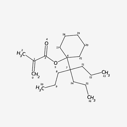 C=C(C)C(=O)OC1(C(CCC)(CCC)CCC)CCCCC1